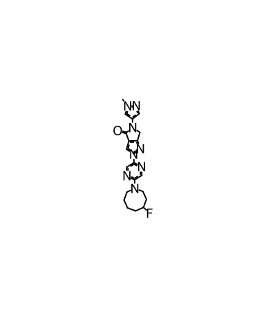 Cn1cc(N2Cc3nn(-c4cnc(N5CCCCC(F)CC5)cn4)cc3C2=O)cn1